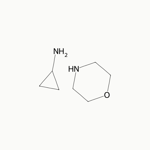 C1COCCN1.NC1CC1